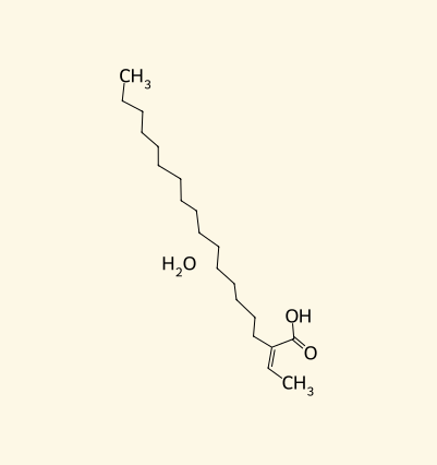 CC=C(CCCCCCCCCCCCCCCC)C(=O)O.O